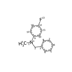 C[N+](Cc1ccccc1)c1ccc(F)cc1